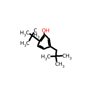 CC(C)(C)Cc1ccc(C(C)(C)C)c(O)c1